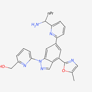 CCCC(N)c1cccc(-c2cc(-c3ncc(C)o3)c3cnn(-c4cccc(CO)n4)c3c2)n1